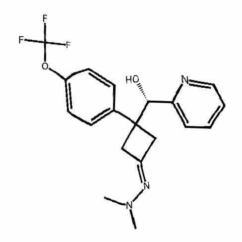 CN(C)N=C1CC(c2ccc(OC(F)(F)F)cc2)([C@H](O)c2ccccn2)C1